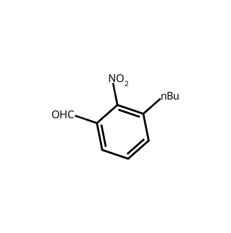 CCCCc1cccc(C=O)c1[N+](=O)[O-]